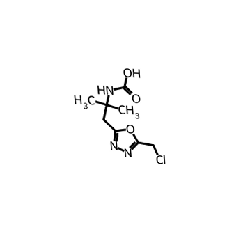 CC(C)(Cc1nnc(CCl)o1)NC(=O)O